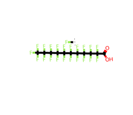 O=C(O)C(F)(F)C(F)(F)C(F)(F)C(F)(F)C(F)(F)C(F)(F)C(F)(F)C(F)(F)C(F)(F)C(F)(F)F.[C]F